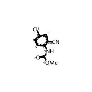 COC(=O)Nc1ccc(Cl)cc1C#N